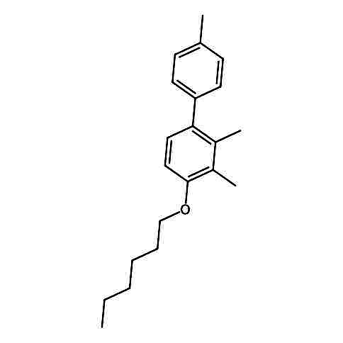 CCCCCCOc1ccc(-c2ccc(C)cc2)c(C)c1C